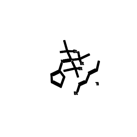 CC=CC=CCC.CCC(C)(C)P(=NC1=CC=CC1)(C(C)(C)CC)C(C)(C)CC.[Ti]